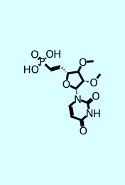 COC1[C@@H](/C=C/P(=O)(O)O)O[C@@H](n2ccc(=O)[nH]c2=O)[C@H]1OC